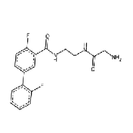 NCC(=O)NCCNC(=O)c1cc(-c2ccccc2F)ccc1F